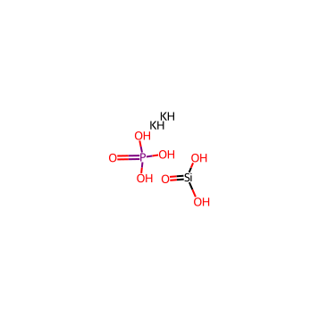 O=P(O)(O)O.O=[Si](O)O.[KH].[KH]